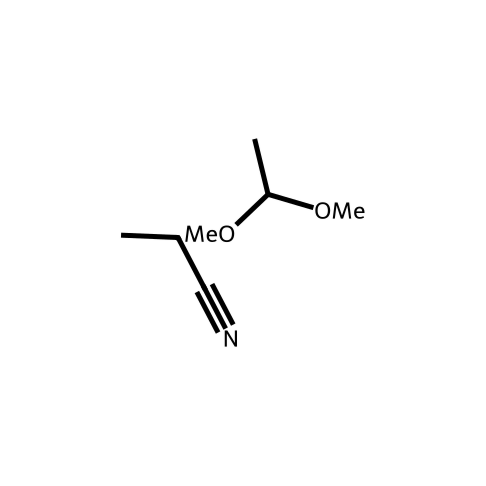 CCC#N.COC(C)OC